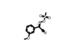 COc1cccc(/C(C#N)=N/OS(C)(=O)=O)c1